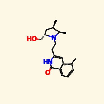 Cc1cccc2c(=O)[nH]c(CCN3[C@H](CO)C[C@@H](C)[C@H]3C)cc12